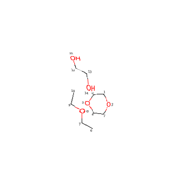 C1COCCO1.CCOCC.OCCO